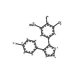 CCc1cc(-c2sncc2-c2ccc(I)cc2)cc(OC)c1C